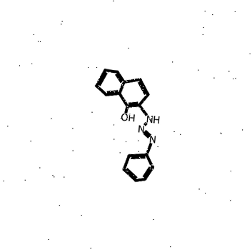 Oc1c(N/N=N/c2ccccc2)ccc2ccccc12